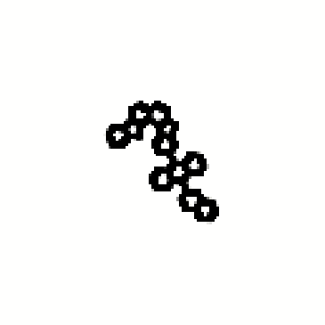 c1ccc2cc(-c3c4ccccc4c(-c4ccc5c(c4)oc4ccc6ccc7c8ccccc8sc7c6c45)c4ccccc34)ccc2c1